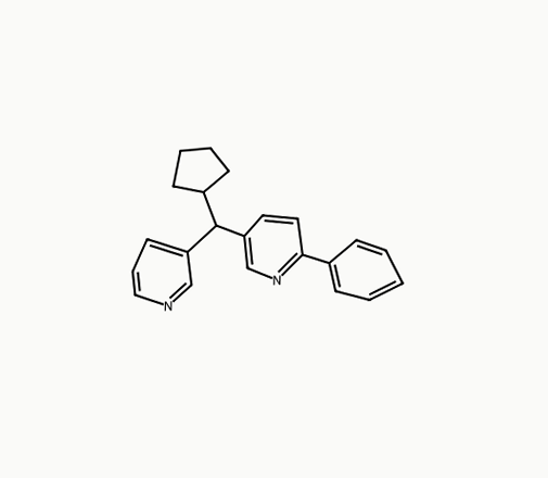 c1ccc(-c2ccc(C(c3cccnc3)C3CCCC3)cn2)cc1